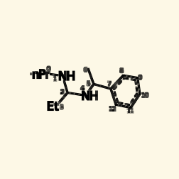 CC[CH]NC(CC)NC(C)c1ccccc1